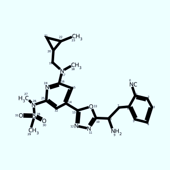 [C-]#[N+]c1ccccc1CC(N)c1nnc(-c2cc(N(C)CC3CC3C)nc(N(C)S(C)(=O)=O)c2)o1